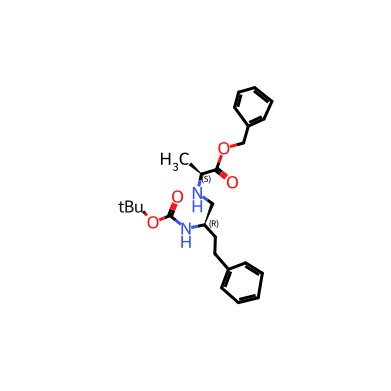 C[C@H](NC[C@@H](CCc1ccccc1)NC(=O)OC(C)(C)C)C(=O)OCc1ccccc1